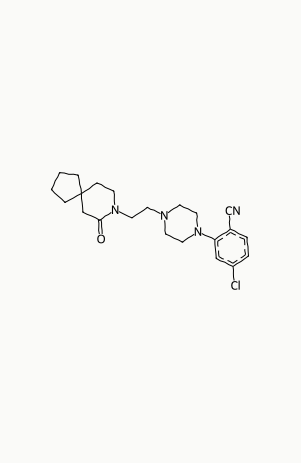 N#Cc1ccc(Cl)cc1N1CCN(CCN2CCC3(CCCC3)CC2=O)CC1